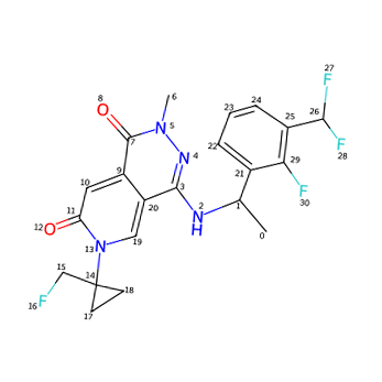 CC(Nc1nn(C)c(=O)c2cc(=O)n(C3(CF)CC3)cc12)c1cccc(C(F)F)c1F